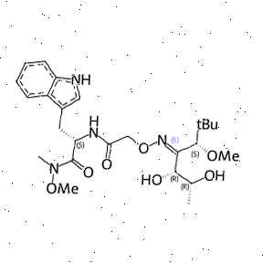 CO[C@H](/C(=N/OCC(=O)N[C@@H](Cc1c[nH]c2ccccc12)C(=O)N(C)OC)[C@@H](O)[C@@H](C)O)C(C)(C)C